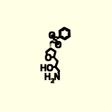 NCC(O)C[C@@H]1C[C@@H](CS(=O)(=O)c2ccccc2)CO1